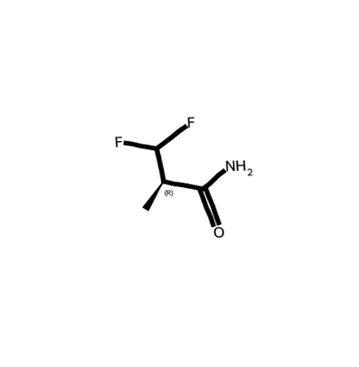 C[C@H](C(N)=O)C(F)F